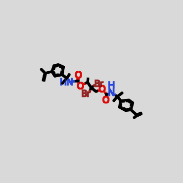 C=C(C)c1ccc(C(C)(C)NC(=O)OCC(Br)(Br)C(C)OC(=O)NC(C)(C)c2cccc(C(=C)C)c2)cc1